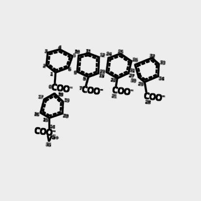 O=C([O-])c1ccccc1.O=C([O-])c1ccccc1.O=C([O-])c1ccccc1.O=C([O-])c1ccccc1.O=C([O-])c1ccccc1.[V+5]